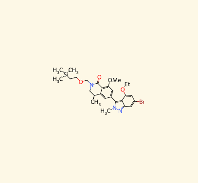 CCOc1cc(Br)cc2nn(C)c(-c3cc(OC)c4c(c3)[C@@H](C)CN(COCC[Si](C)(C)C)C4=O)c12